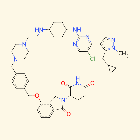 Cn1ncc(-c2nc(N[C@H]3CC[C@H](NCCN4CCN(Cc5ccc(COc6cccc7c6CN([C@H]6CCC(=O)NC6=O)C7=O)cc5)CC4)CC3)ncc2Cl)c1CC1CC1